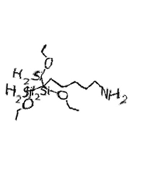 CCO[SiH2]C(CCCCCN)([SiH2]OCC)[SiH2]OCC